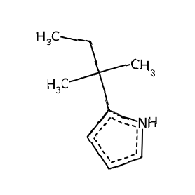 CCC(C)(C)c1ccc[nH]1